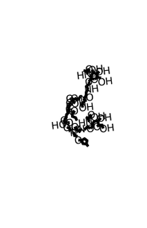 CCCC(=O)N(CCOP(=O)(O)OCCN(CCO)C(=O)CNCCOC1OC(CO)C(O)C(O)C1NC(C)=O)CCOP(=O)(O)OCCN(CCOC1CCC(C)C1)C(=O)CNCCOC1OC(CO)C(O)C(O)C1NC(C)=O